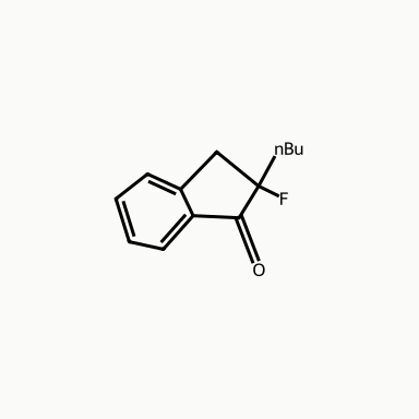 CCCCC1(F)Cc2ccccc2C1=O